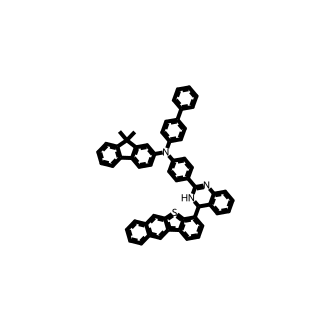 CC1(C)c2ccccc2-c2ccc(N(c3ccc(C4=Nc5ccccc5C(c5cccc6c5sc5cc7ccccc7cc56)N4)cc3)c3ccc(-c4ccccc4)cc3)cc21